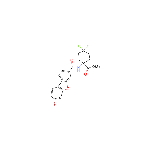 COC(=O)C1(NC(=O)c2ccc3c(c2)oc2cc(Br)ccc23)CCC(F)(F)CC1